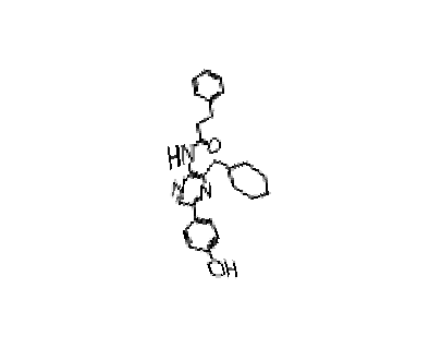 O=C(CCc1ccccc1)Nc1ncc(-c2ccc(O)cc2)nc1CC1CCCCC1